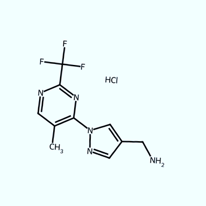 Cc1cnc(C(F)(F)F)nc1-n1cc(CN)cn1.Cl